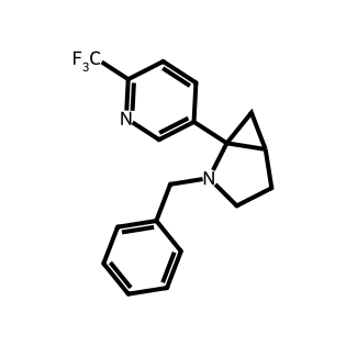 FC(F)(F)c1ccc(C23CC2CCN3Cc2ccccc2)cn1